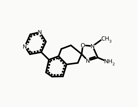 CN1OC2(CCc3c(cccc3-c3cncnc3)C2)N=C1N